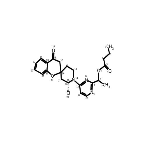 CCCC(=O)OC(C)c1nccc(N2CCC3(CC(=O)c4ccccc4O3)C[C@H]2Cl)n1